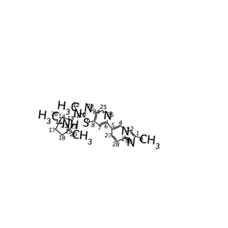 Cc1cn2cc(-c3cc4sc(N(C)[C@H]5C[C@]6(C)CC[C@](C)(C5)N6)nc4cn3)ccc2n1